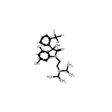 CC(C)N(CCN1C(=O)C(O)(c2ccccc2C(F)(F)F)c2c(Cl)cc(Cl)cc21)C(C)C